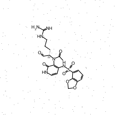 CC(=O)N(c1c(NS(=O)(=O)c2cccc3c2OCO3)cc[nH]c1=O)[C@H](C=O)CCCNC(=N)N